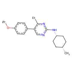 CCc1nc(N[C@H]2CC[C@@H](C)CC2)ncc1-c1ccc(OC(C)C)cc1